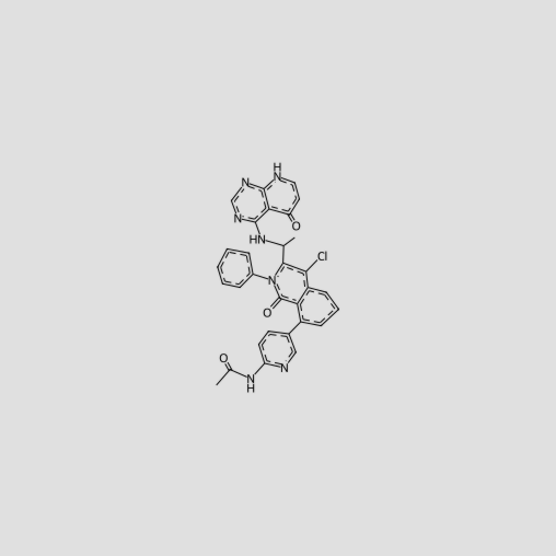 CC(=O)Nc1ccc(-c2cccc3c(Cl)c(C(C)Nc4ncnc5[nH]ccc(=O)c45)n(-c4ccccc4)c(=O)c23)cn1